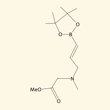 COC(=O)CN(C)C/C=C/B1OC(C)(C)C(C)(C)O1